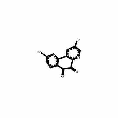 O=C1C(=O)c2ncc(Br)cc2-c2nc(Br)ccc21